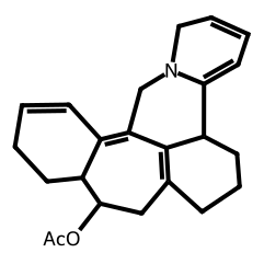 CC(=O)OC1CC2=C3C(=C4C=CCCC41)CN1CC=CC=C1C3CCC2